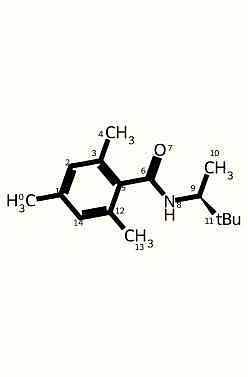 Cc1cc(C)c(C(=O)N[C@@H](C)C(C)(C)C)c(C)c1